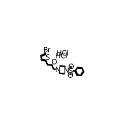 Cl.Cl.O=C(Cc1ccc(Br)s1)CN1CCN(S(=O)(=O)c2ccccc2)CC1